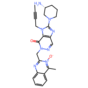 CC#CCn1c(N2CCC[C@@H](N)C2)nc2cnn(Cc3nc4ccccc4c(C)[n+]3[O-])c(=O)c21